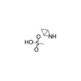 C1C2NC12.CS(=O)(=O)O